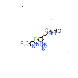 Cn1cnc(-c2cc(C=CC(=O)NC=O)cc(F)c2Nc2ccc(C(F)(F)F)cn2)c1